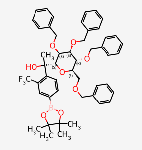 CC(O)(c1ccc(B2OC(C)(C)C(C)(C)O2)cc1C(F)(F)F)[C@H]1O[C@H](COCc2ccccc2)[C@@H](OCc2ccccc2)[C@H](OCc2ccccc2)[C@@H]1OCc1ccccc1